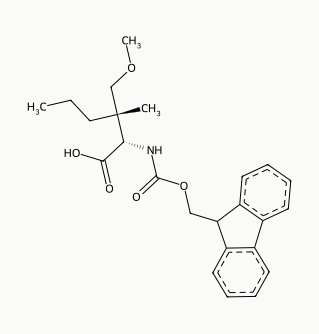 CCC[C@](C)(COC)[C@H](NC(=O)OCC1c2ccccc2-c2ccccc21)C(=O)O